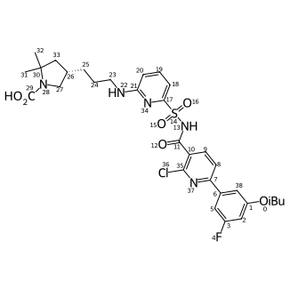 CC(C)COc1cc(F)cc(-c2ccc(C(=O)NS(=O)(=O)c3cccc(NCCC[C@@H]4CN(C(=O)O)C(C)(C)C4)n3)c(Cl)n2)c1